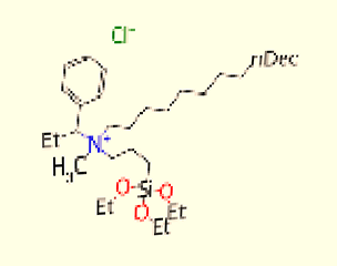 CCCCCCCCCCCCCCCCCC[N+](C)(CCC[Si](OCC)(OCC)OCC)C(CC)c1ccccc1.[Cl-]